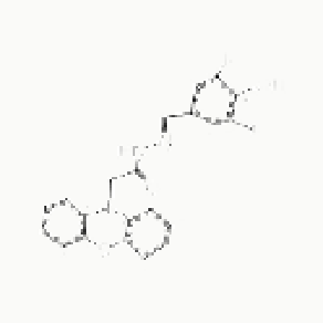 O=C(CN1c2ccccc2Sc2ccccc21)N/N=C/c1cc(I)c(O)c(I)c1